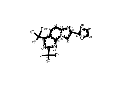 FC(F)(F)c1nc(C(F)(F)F)c2ccc3nc(-c4ncco4)cn3c2n1